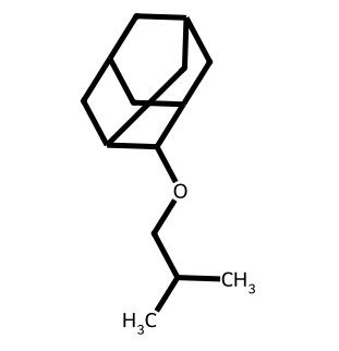 CC(C)COC1C2CC3CC(C2)CC1C3